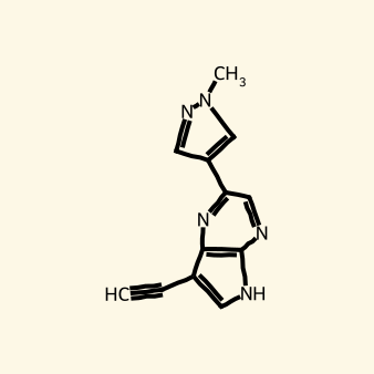 C#Cc1c[nH]c2ncc(-c3cnn(C)c3)nc12